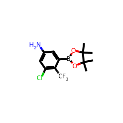 CC1(C)OB(c2cc(N)cc(Cl)c2C(F)(F)F)OC1(C)C